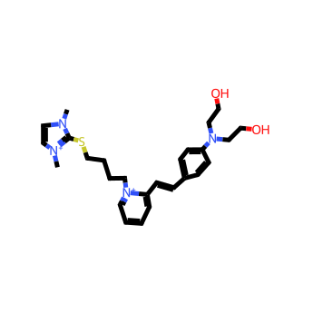 Cn1cc[n+](C)c1SCCCC[n+]1ccccc1/C=C/c1ccc(N(CCO)CCO)cc1